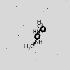 C=CCNc1ccc(Nc2ccccc2C)cc1